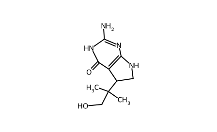 CC(C)(CO)C1CNc2nc(N)[nH]c(=O)c21